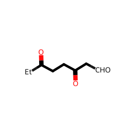 CCC(=O)CCC(=O)CC=O